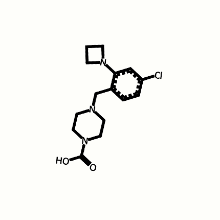 O=C(O)N1CCN(Cc2ccc(Cl)cc2N2CCC2)CC1